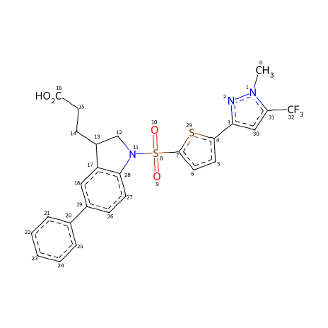 Cn1nc(-c2ccc(S(=O)(=O)N3CC(CCC(=O)O)c4cc(-c5ccccc5)ccc43)s2)cc1C(F)(F)F